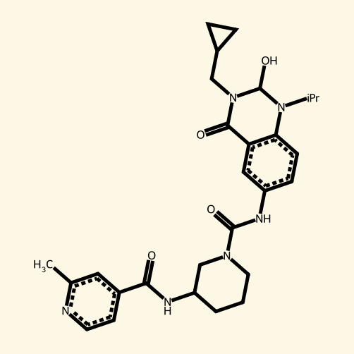 Cc1cc(C(=O)NC2CCCN(C(=O)Nc3ccc4c(c3)C(=O)N(CC3CC3)C(O)N4C(C)C)C2)ccn1